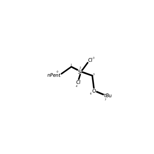 CCCCCC[Si](Cl)(Cl)COC(C)(C)C